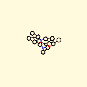 c1cc(N(c2ccc3c(c2)C2(c4cc(C5CCCCC5)ccc4Oc4ccc(C5CCCCC5)cc42)c2ccccc2-3)c2ccc3c(c2)C2(c4ccccc4-c4ccccc42)c2ccccc2-3)cc(-n2c3ccccc3c3ccccc32)c1